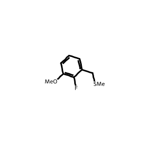 COc1cccc(CSC)c1F